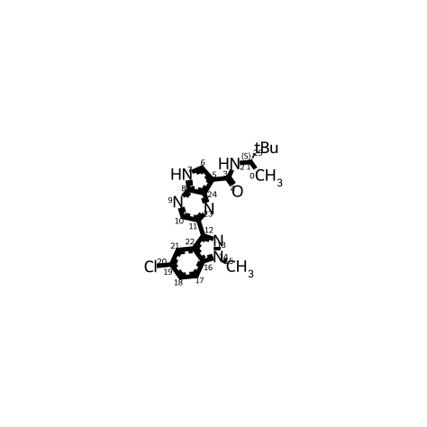 C[C@H](NC(=O)c1c[nH]c2ncc(-c3nn(C)c4ccc(Cl)cc34)nc12)C(C)(C)C